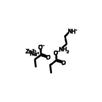 CCC(=O)[O-].CCC(=O)[O-].[NH-]CCN.[Na+].[Zn+2]